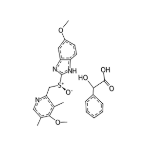 COc1ccc2[nH]c([S@@+]([O-])Cc3ncc(C)c(OC)c3C)nc2c1.O=C(O)C(O)c1ccccc1